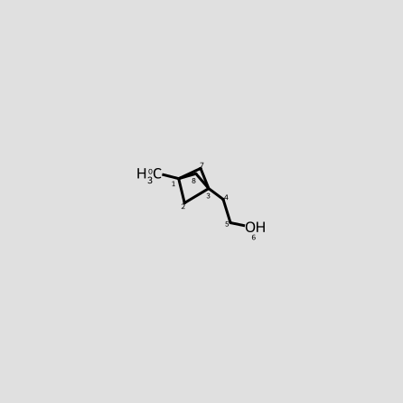 CC12CC(CCO)(C1)C2